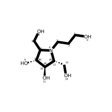 OCCCN1C(CO)[C@@H](O)[C@H](O)[C@H]1CO